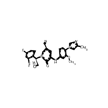 COc1cc(Nc2cc(C#N)cn([C@@H](CO)c3ccc(F)cc3F)c2=O)ccc1-n1cnc(C)c1